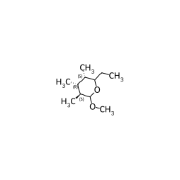 CCC1OC(OC)[C@@H](C)[C@H](C)[C@@H]1C